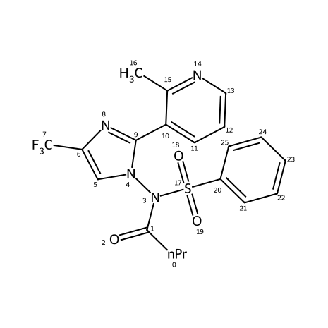 CCCC(=O)N(n1cc(C(F)(F)F)nc1-c1cccnc1C)S(=O)(=O)c1ccccc1